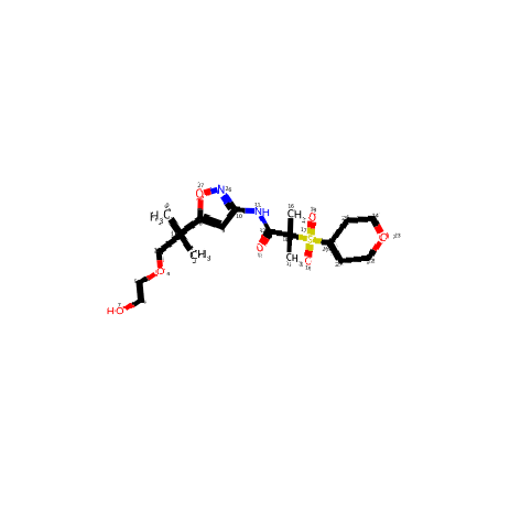 CC(C)(COCCO)c1cc(NC(=O)C(C)(C)S(=O)(=O)C2CCOCC2)no1